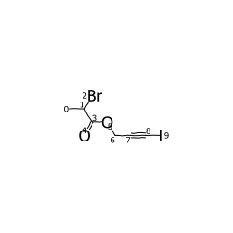 CC(Br)C(=O)OCC#CI